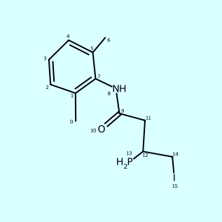 Cc1cccc(C)c1NC(=O)CC(P)CI